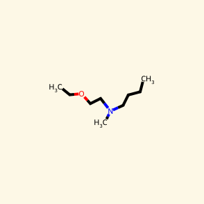 CCCCN(C)CCOCC